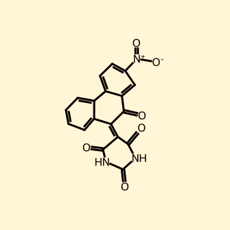 O=C1NC(=O)C(=C2C(=O)c3cc([N+](=O)[O-])ccc3-c3ccccc32)C(=O)N1